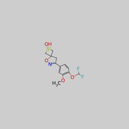 COc1cc(C2=NOC3(C2)C[S+](O)C3)ccc1OC(F)F